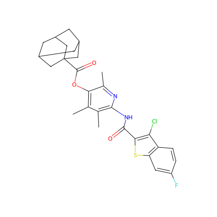 Cc1nc(NC(=O)c2sc3cc(F)ccc3c2Cl)c(C)c(C)c1OC(=O)C12CC3CC(CC(C3)C1)C2